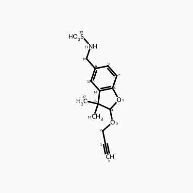 C#CCOC1Oc2ccc(CNS(=O)(=O)O)cc2C1(C)C